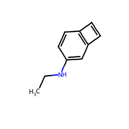 CCNc1ccc2c(c1)C=C2